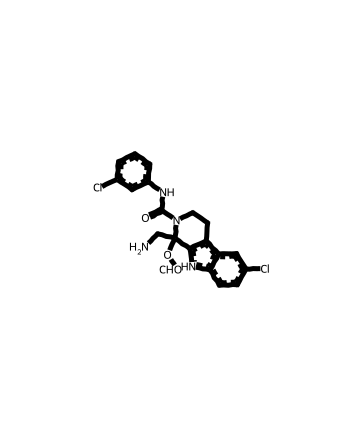 NCC1(OC=O)c2[nH]c3ccc(Cl)cc3c2CCN1C(=O)Nc1cccc(Cl)c1